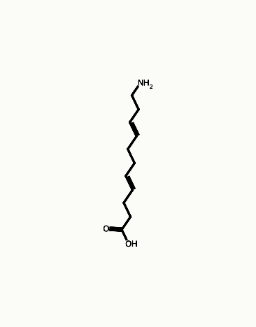 NCCC=CCCC=CCCC(=O)O